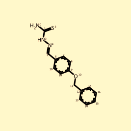 NC(=S)NN=Cc1ccc(OCc2ccccc2)cc1